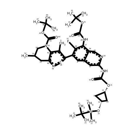 Cc1c(-c2cc3cc(NC(=O)O[C@H]4C[C@@H](O[Si](C)(C)C(C)(C)C)C4)ncc3c(NC(=O)OC(C)(C)C)c2F)cnc2c1N(C(=O)OC(C)(C)C)CC(C)C2